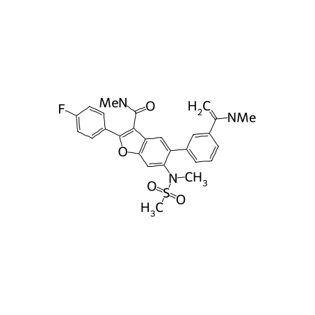 C=C(NC)c1cccc(-c2cc3c(C(=O)NC)c(-c4ccc(F)cc4)oc3cc2N(C)S(C)(=O)=O)c1